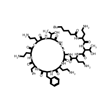 CCC(C)CCCCC(=O)NC(CCN)C(=O)NC(C(=O)NC(CCN)C(=O)NC1CCNC(=O)C(C(C)O)NC(=O)C(CCN)CC(=O)C(CCN)NC(=O)C(CC(C)C)NC(=O)C(Cc2ccccc2)NC(=O)C(CCN)NC1=O)C(C)O